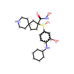 O=C(NO)C1([S+]([O-])c2ccc(NC3CCCCC3)c(O)c2)CCC2(CCNCC2)C1